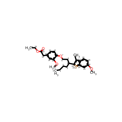 CCCCC(CCOc1ccc(CC(=O)OCC)cc1OC)c1sc2cc(OC)ccc2c1C